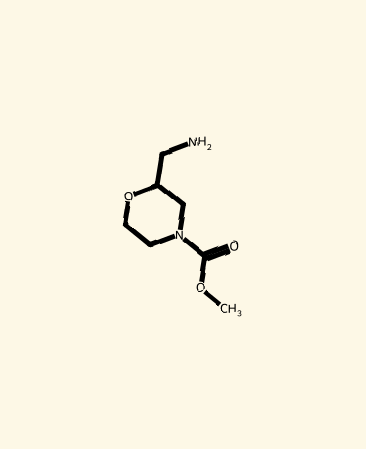 COC(=O)N1CCOC(CN)C1